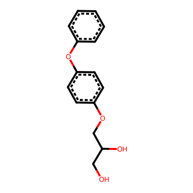 OCC(O)COc1ccc(Oc2ccccc2)cc1